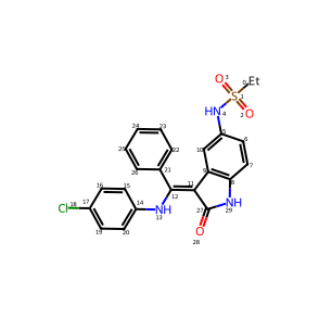 CCS(=O)(=O)Nc1ccc2c(c1)/C(=C(/Nc1ccc(Cl)cc1)c1ccccc1)C(=O)N2